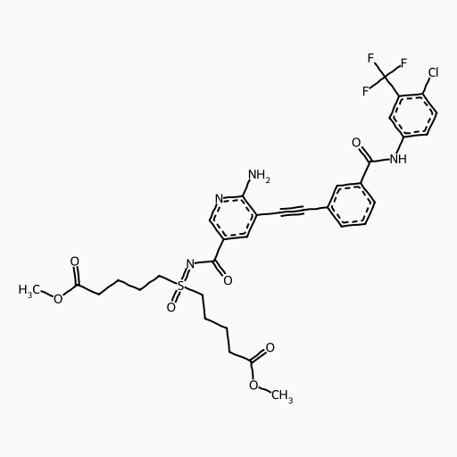 COC(=O)CCCCS(=O)(CCCCC(=O)OC)=NC(=O)c1cnc(N)c(C#Cc2cccc(C(=O)Nc3ccc(Cl)c(C(F)(F)F)c3)c2)c1